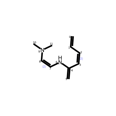 C=C/C=C\C(=C)N/C=C\N(C)C